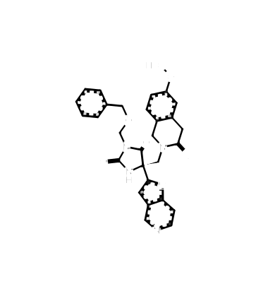 COc1ccc2c(c1)CC(=O)N(C[C@@]1(c3cc4cnccc4o3)NC(=O)N(COCc3ccccc3)C1=O)C2